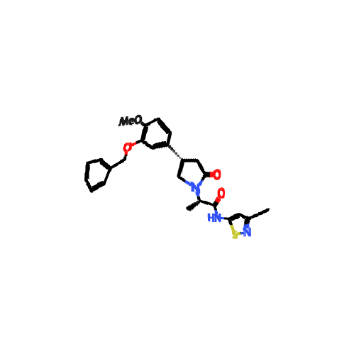 COc1ccc([C@@H]2CC(=O)N([C@H](C)C(=O)Nc3cc(C)ns3)C2)cc1OCc1ccccc1